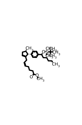 CCCCCC(O[Si](C)(C)C(C)(C)C)c1ccc([C@@H]2C(C/C=C\CCCC(=O)OC)=CC[C@H]2C)cc1